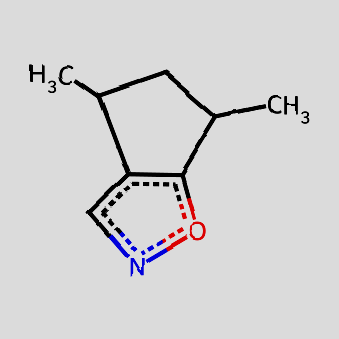 CC1CC(C)c2oncc21